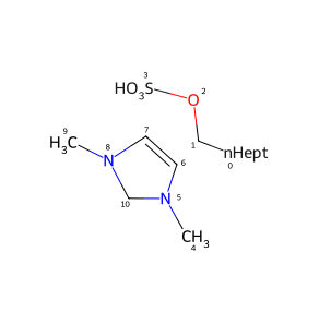 CCCCCCCCOS(=O)(=O)O.CN1C=CN(C)C1